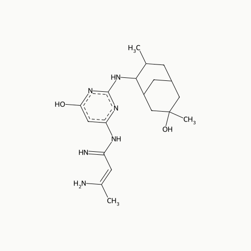 C/C(N)=C/C(=N)Nc1cc(O)nc(NC2C(C)CC3CC2CC(C)(O)C3)n1